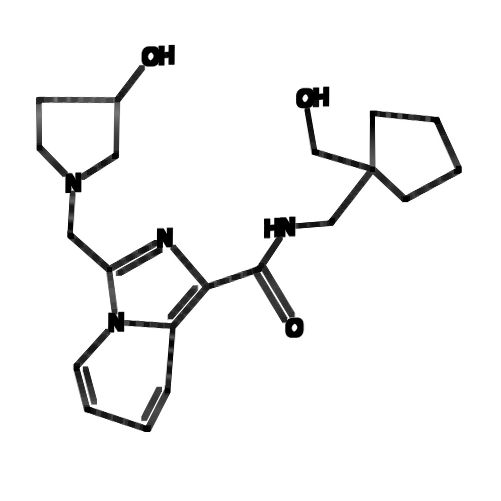 O=C(NCC1(CO)CCCC1)c1nc(CN2CCC(O)C2)n2ccccc12